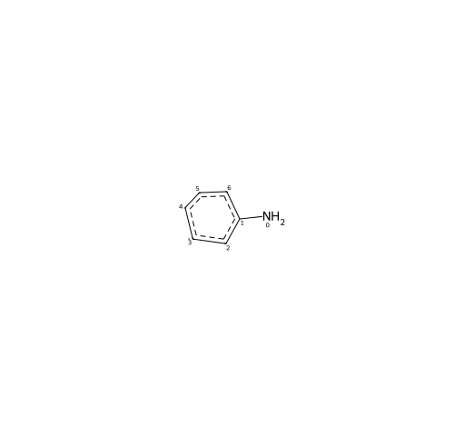 Nc1c[c]ccc1